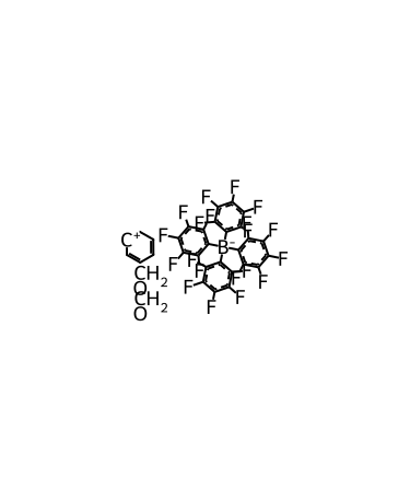 C1=C[CH+]CC=C1.C=O.C=O.Fc1c(F)c(F)c([B-](c2c(F)c(F)c(F)c(F)c2F)(c2c(F)c(F)c(F)c(F)c2F)c2c(F)c(F)c(F)c(F)c2F)c(F)c1F